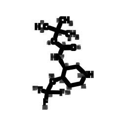 CC(C)(C)OC(=O)N[C@H]1CNCC[C@H]1OC(F)(F)F